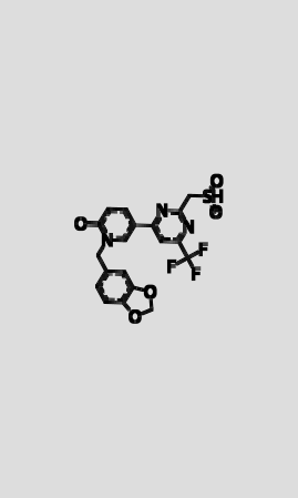 O=c1ccc(-c2cc(C(F)(F)F)nc(C[SH](=O)=O)n2)cn1Cc1ccc2c(c1)OCO2